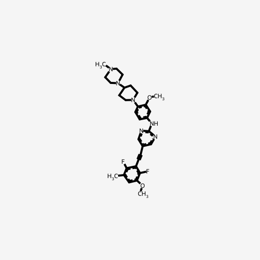 COc1cc(Nc2ncc(C#Cc3c(F)c(C)cc(OC)c3F)cn2)ccc1N1CCC(N2CCN(C)CC2)CC1